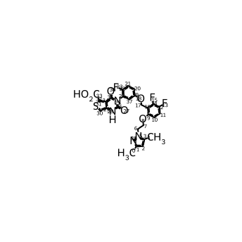 Cc1cc(C)n(CCOc2ccc(F)c(F)c2COc2ccc(F)c(-n3c(=O)[nH]c4csc(C(=O)O)c4c3=O)c2)n1